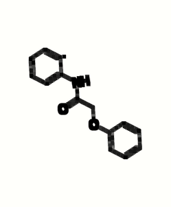 O=C(COc1ccccc1)Nc1[c]cccc1